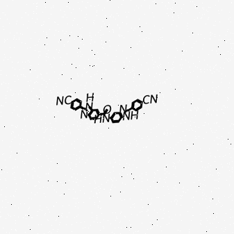 N#Cc1ccc(-c2nc3cc(NC(=O)c4ccc5nc(-c6ccc(C#N)cc6)[nH]c5c4)ccc3[nH]2)cc1